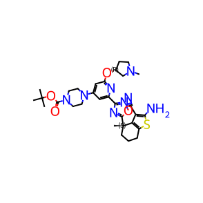 CN1CC[C@@H](Oc2cc(N3CCN(C(=O)OC(C)(C)C)CC3)cc(-c3noc([C@@]4(C)CCCc5sc(N)c(C#N)c54)n3)n2)C1